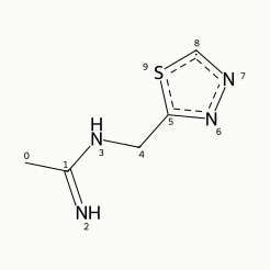 CC(=N)NCc1nn[c]s1